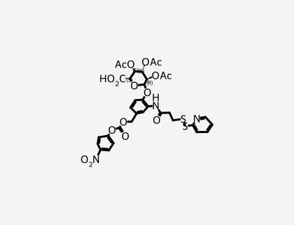 CC(=O)O[C@H]1[C@H](OC(C)=O)[C@@H](OC(C)=O)C(Oc2ccc(COC(=O)Oc3ccc([N+](=O)[O-])cc3)cc2NC(=O)CCSSc2ccccn2)O[C@@H]1C(=O)O